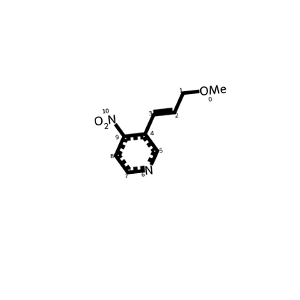 COCC=Cc1cnccc1[N+](=O)[O-]